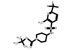 Cc1nc(C(F)(F)F)ccc1S(=O)(=O)NC1CCN(C(=O)OC(C)(C)C)CC1